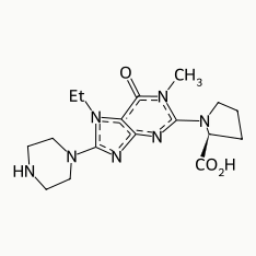 CCn1c(N2CCNCC2)nc2nc(N3CCC[C@H]3C(=O)O)n(C)c(=O)c21